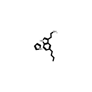 CCCCc1ccc2[nH]cc(CCN)c2c1.c1cc[nH]c1